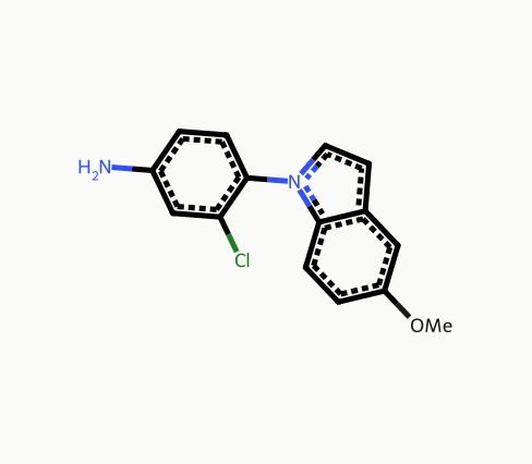 COc1ccc2c(ccn2-c2ccc(N)cc2Cl)c1